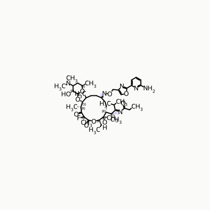 CCC(=O)/N=C(\C(C)C)[C@H](C)[C@H]1CC/C(=N\OCc2coc(-c3cccc(N)n3)n2)CCC(C)[C@H](O[C@@H]2O[C@H](C)CC(N(C)C)[C@H]2O)[C@@H](C)C(=O)[C@](C)(F)C(=O)O[C@H](CC)[C@@]1(C)O